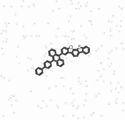 c1ccc(-c2ccc(-c3c4ccccc4c(-c4ccc5oc6c(ccc7c8ccccc8sc76)c5c4)c4ccccc34)cc2)cc1